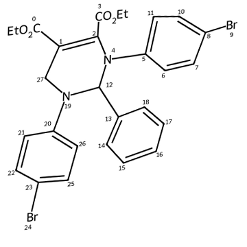 CCOC(=O)C1=C(C(=O)OCC)N(c2ccc(Br)cc2)C(c2ccccc2)N(c2ccc(Br)cc2)C1